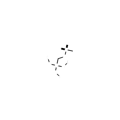 CCO[Si](COS(C)(=O)=O)(OCC)OCC